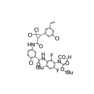 C=Cc1cc(Cl)cc(C2C(C(=O)Nc3ccc(Cl)c(C(=O)Nc4c(C(C)(C)C)cc(F)c(N(C(=O)O)C(=O)OC(C)(C)C)c4F)c3)C2(Cl)Cl)c1